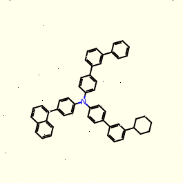 c1ccc(-c2cccc(-c3ccc(N(c4ccc(-c5cccc(C6CCCCC6)c5)cc4)c4ccc(-c5cccc6ccccc56)cc4)cc3)c2)cc1